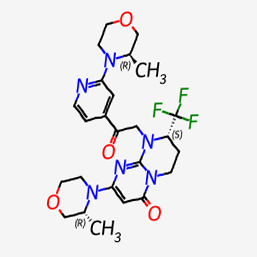 C[C@@H]1COCCN1c1cc(C(=O)CN2c3nc(N4CCOC[C@H]4C)cc(=O)n3CC[C@H]2C(F)(F)F)ccn1